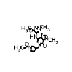 C=CC(=O)N1CCC(Cn2cc(Nc3cn(C)nc3OC)c3ncn(C)c3c2=O)C1